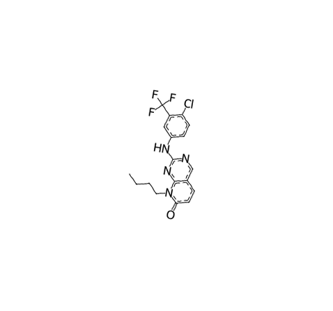 CCCCn1c(=O)ccc2cnc(Nc3ccc(Cl)c(C(F)(F)F)c3)nc21